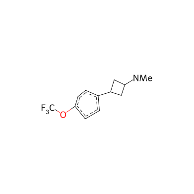 CNC1CC(c2ccc(OC(F)(F)F)cc2)C1